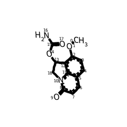 COc1ccc2ccc(=O)n3c2c1C(OC(N)=O)C3